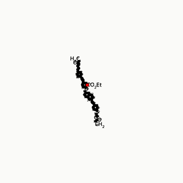 C=CC(=O)OCCSc1ccc(C#Cc2ccc(OCc3ccc4cc(C#Cc5ccc(SCCOC(=O)C=C)cc5)ccc4c3)c(C(=O)OCC)c2)cc1